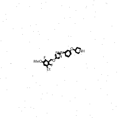 CCc1cc(OC)c(F)c(COc2cnc(Nc3cccc(OC4CCNCC4)c3)nc2)c1F